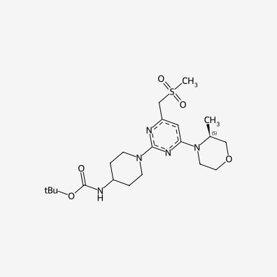 C[C@H]1COCCN1c1cc(CS(C)(=O)=O)nc(N2CCC(NC(=O)OC(C)(C)C)CC2)n1